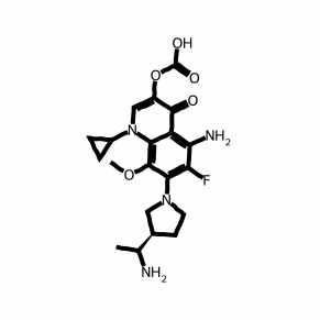 COc1c(N2CC[C@@H](C(C)N)C2)c(F)c(N)c2c(=O)c(OC(=O)O)cn(C3CC3)c12